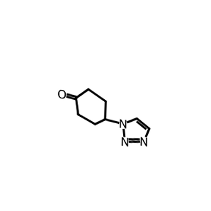 O=C1CCC(n2ccnn2)CC1